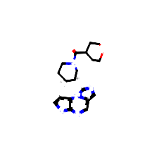 C[C@@H]1CCN(C(=O)C2CCOCC2)C[C@@H]1c1ncc2cnc3[nH]ccc3n12